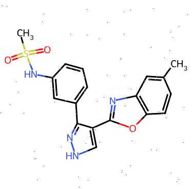 Cc1ccc2oc(-c3c[nH]nc3-c3cccc(NS(C)(=O)=O)c3)nc2c1